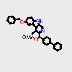 COCc1c(C(=O)c2ccc(-c3ccccc3)cc2)ncc2[nH]c3ccc(OCc4ccccc4)cc3c12